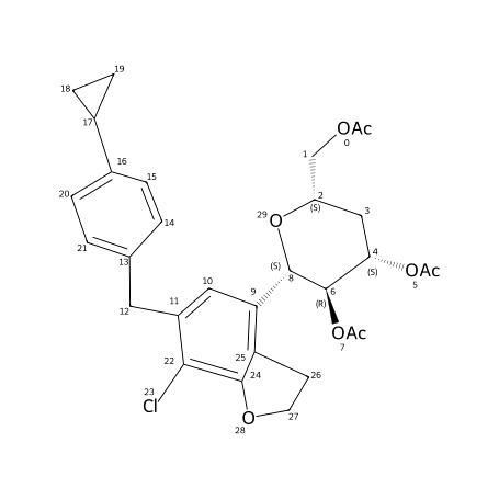 CC(=O)OC[C@@H]1C[C@H](OC(C)=O)[C@@H](OC(C)=O)[C@H](c2cc(Cc3ccc(C4CC4)cc3)c(Cl)c3c2CCO3)O1